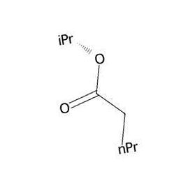 [CH2][C@@H](C)OC(=O)CCCC